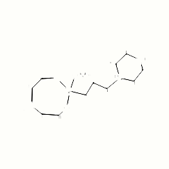 CO[Si]1(CCCN2CCOCC2)OCCSCCO1